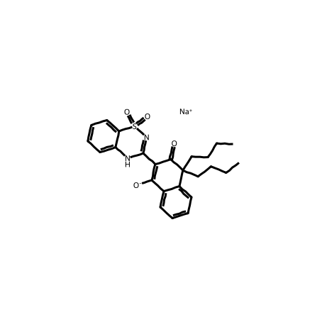 CCCCC1(CCCC)C(=O)C(C2=NS(=O)(=O)c3ccccc3N2)=C([O-])c2ccccc21.[Na+]